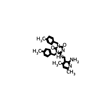 Cc1ccc(Cn2c(NCc3c(C)cc(C)nc3N)nc(=O)n(Cc3ccc(C)cc3)c2=O)cc1